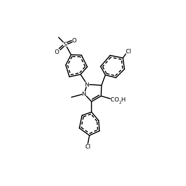 CN1C(c2ccc(Cl)cc2)=C(C(=O)O)C(c2ccc(Cl)cc2)N1c1ccc(S(C)(=O)=O)cc1